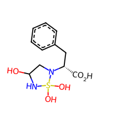 O=C(O)[C@@H](Cc1ccccc1)N1CC(O)NS1(O)O